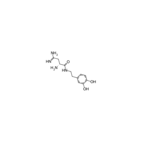 N=C(N)C[C@@H](N)C(=O)NCCc1ccc(O)c(O)c1